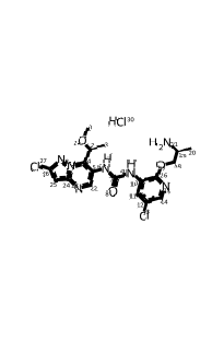 CO[C@@H](C)c1c(NC(=O)Nc2cc(Cl)cnc2OC[C@H](C)N)cnc2cc(Cl)nn12.Cl